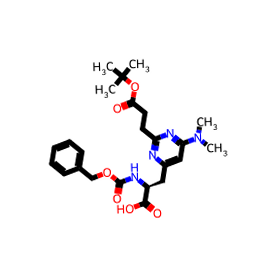 CN(C)c1cc(C[C@H](NC(=O)OCc2ccccc2)C(=O)O)nc(CCC(=O)OC(C)(C)C)n1